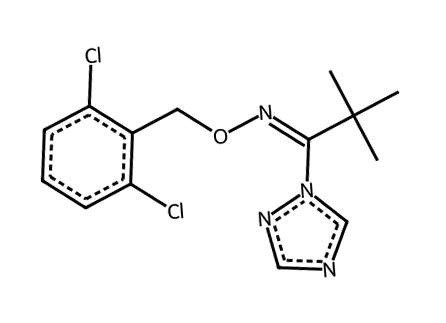 CC(C)(C)C(=NOCc1c(Cl)cccc1Cl)n1cncn1